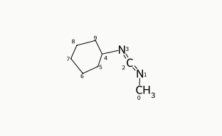 CN=C=NC1CCCCC1